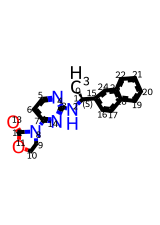 C[C@H](Nc1nccc(N2CCOC2=O)n1)c1ccc2ccccc2c1